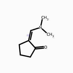 CN(C)/C=C1/CCCC1=O